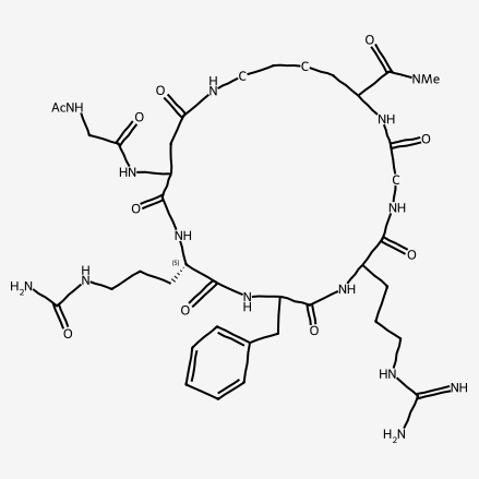 CNC(=O)C1CCCCNC(=O)CC(NC(=O)CNC(C)=O)C(=O)N[C@@H](CCCNC(N)=O)C(=O)NC(Cc2ccccc2)C(=O)NC(CCCNC(=N)N)C(=O)NCC(=O)N1